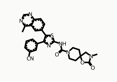 Cc1ncnc2ccc(-c3sc(NC(=O)N4CCC5(CC4)CN(C)C(=O)O5)nc3-c3cccc(C#N)c3)cc12